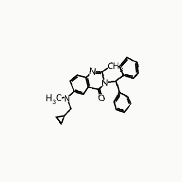 Cc1nc2ccc(N(C)CC3CC3)cc2c(=O)n1C(c1ccccc1)c1ccccc1